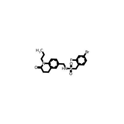 CCCN1C(=O)CCc2cc(CNS(=O)(=O)Cc3ccc(Br)cc3F)ccc21